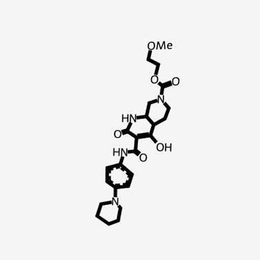 COCCOC(=O)N1CCC2C(O)=C(C(=O)Nc3ccc(N4CCCCC4)cc3)C(=O)NC2C1